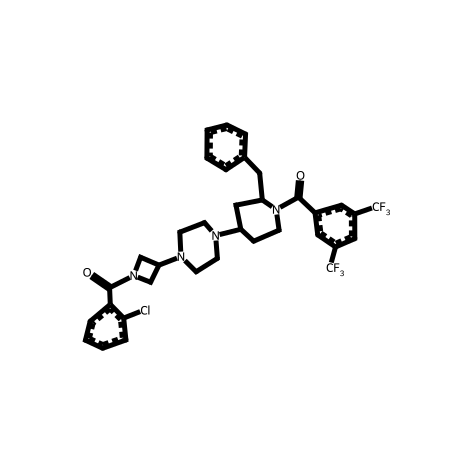 O=C(c1ccccc1Cl)N1CC(N2CCN(C3CCN(C(=O)c4cc(C(F)(F)F)cc(C(F)(F)F)c4)C(Cc4ccccc4)C3)CC2)C1